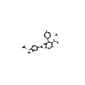 Cc1cc2nc(-c3ccc4c(c3)nc(C)n4C3CC3)sc2c(-c2ccc(Cl)cc2)c1C(OC(C)(C)C)C(=O)O